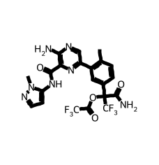 Cc1ccc(C(OC(=O)C(F)(F)F)(C(N)=O)C(F)(F)F)cc1-c1cnc(N)c(C(=O)Nc2ccnn2C)n1